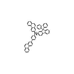 c1ccc(C2(c3ccccc3)c3ccccc3-c3ccc(N(c4ccc(-c5ccc6c(ccc7ccccc76)c5)cc4)c4ccc5c(ccc6ccccc65)c4)cc32)cc1